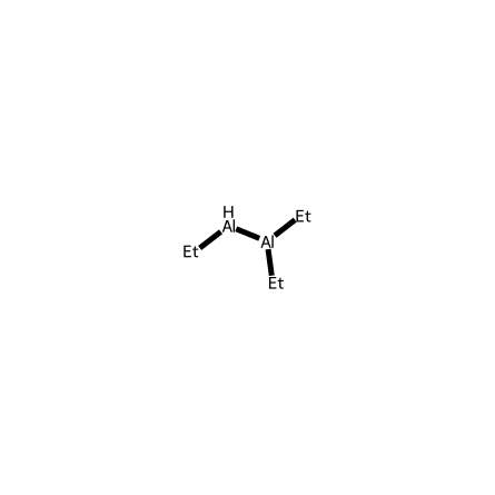 C[CH2][AlH][Al]([CH2]C)[CH2]C